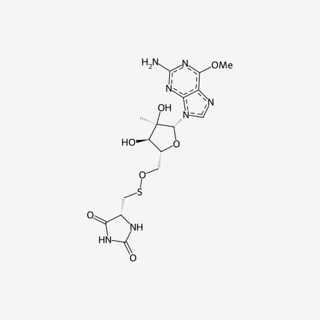 COc1nc(N)nc2c1ncn2[C@@H]1O[C@H](COSC[C@@H]2NC(=O)NC2=O)[C@@H](O)[C@@]1(C)O